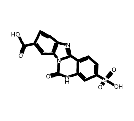 O=C(O)c1ccc2nc3c4ccc(S(=O)(=O)O)cc4[nH]c(=O)n3c2c1